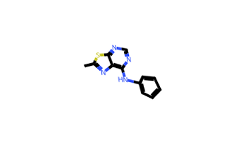 Cc1nc2c(Nc3ccccc3)ncnc2s1